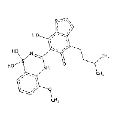 COc1cccc2c1NC(c1c(O)c3sccc3n(CCC(C)C)c1=O)=NS2(O)O